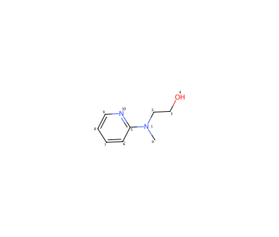 CN(CCO)c1[c]cccn1